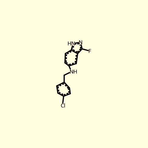 Fc1n[nH]c2ccc(NCc3ccc(Cl)cc3)cc12